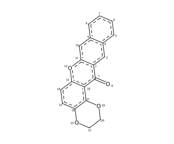 O=c1c2cc3ccccc3cc2oc2ccc3c(c12)OCCO3